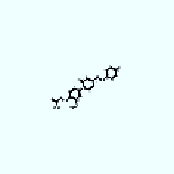 C=C(O)COc1ccc(-n2ccc(COc3ccc(Cl)cc3)cc2=O)cc1OC